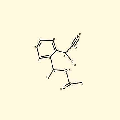 CC(=O)OC(C)c1ccccc1C(F)C#N